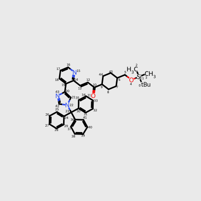 CC(C)(C)[Si](C)(C)OCC1CCC(C(=O)/C=C/c2ncccc2-c2cn(C(c3ccccc3)(c3ccccc3)c3ccccc3)cn2)CC1